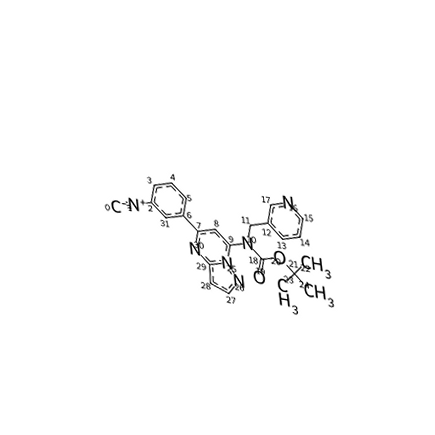 [C-]#[N+]c1cccc(-c2cc(N(Cc3cccnc3)C(=O)OC(C)(C)C)n3nccc3n2)c1